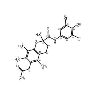 CC(=O)Oc1c(C)c(C)c2c(c1C)CCC(C)(C(=S)Nc1cc(Cl)c(O)c(Cl)c1)O2